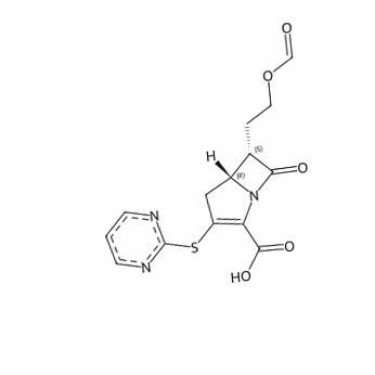 O=COCC[C@@H]1C(=O)N2C(C(=O)O)=C(Sc3ncccn3)C[C@H]12